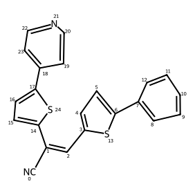 N#CC(=Cc1ccc(-c2ccccc2)s1)c1ccc(-c2ccncc2)s1